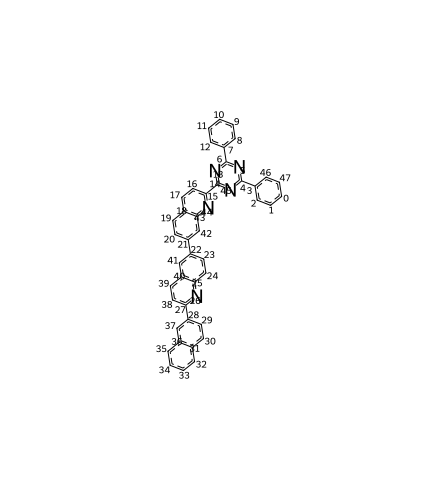 c1ccc(-c2nc(-c3ccccc3)nc(-c3ccc4ccc(-c5ccc6nc(-c7ccc8ccccc8c7)ccc6c5)cc4n3)n2)cc1